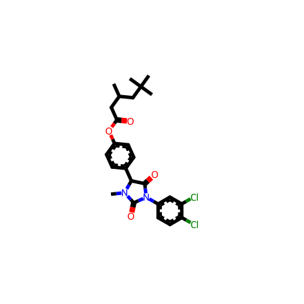 CC(CC(=O)Oc1ccc(C2C(=O)N(c3ccc(Cl)c(Cl)c3)C(=O)N2C)cc1)CC(C)(C)C